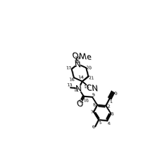 C#Cc1ccc(C)cc1CC(=O)N(C)C1(C#N)CCN(OC)CC1